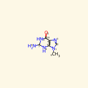 Cn1cnc2c1NC(N)NC2=O